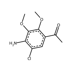 COc1c(C(C)=O)cc(Cl)c(N)c1OC